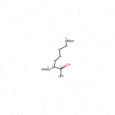 CCCCCCCCCCCCCC(CCCCCC)C(=O)CC